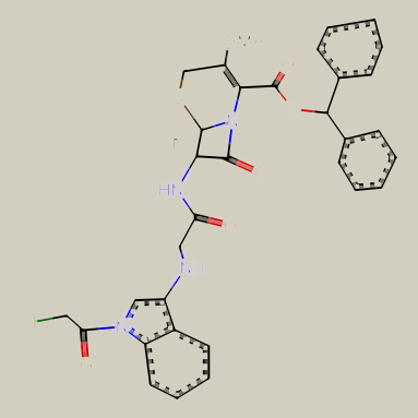 COC1=C(C(=O)OC(c2ccccc2)c2ccccc2)N2C(=O)C(NC(=O)CNc3cn(C(=O)CCl)c4ccccc34)[C@H]2SC1